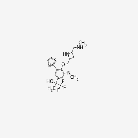 C=Nc1cc(C(C)(O)C(F)(F)F)cc(-c2nccs2)c1OCC1CC(CNC)N1